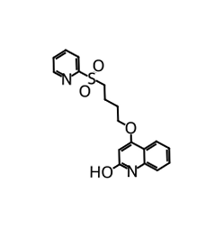 O=S(=O)(CCCCOc1cc(O)nc2ccccc12)c1ccccn1